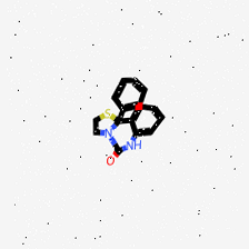 O=C1Nc2ccccc2C2(c3ccccc3)SCCN12